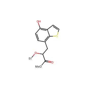 CCOC(Cc1ccc(O)c2ccsc12)C(=O)OC